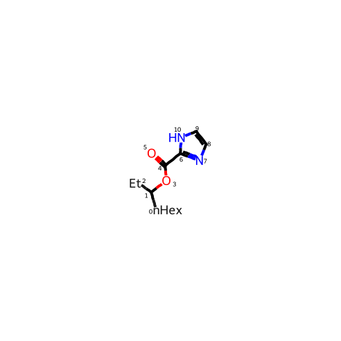 CCCCCCC(CC)OC(=O)c1ncc[nH]1